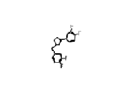 Fc1ccc(CC2CCC(c3ccc(F)c(F)c3)C2)cc1F